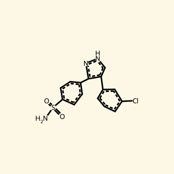 NS(=O)(=O)c1ccc(-c2n[nH]cc2-c2cccc(Cl)c2)cc1